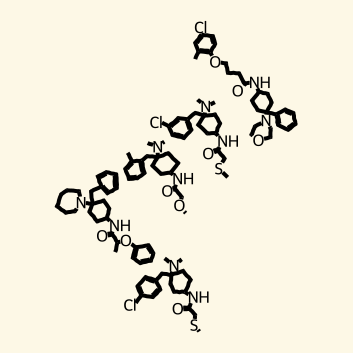 CC(Oc1ccccc1)C(=O)NC1CCC(Cc2ccccc2)(N2CCCCCC2)CC1.COCC(=O)NC1CCC(Cc2ccccc2C)(N(C)C)CC1.CSCC(=O)NC1CCC(Cc2ccc(Cl)cc2)(N(C)C)CC1.CSCC(=O)NC1CCC(Cc2cccc(Cl)c2)(N(C)C)CC1.Cc1cc(Cl)ccc1OCCCC(=O)NC1CCC(c2ccccc2)(N2CCOCC2)CC1